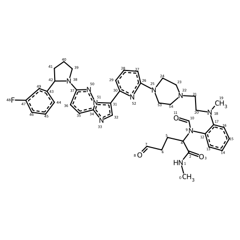 CNC(=O)C(CCC=O)N(C=O)c1ccccc1N(C)CCN1CCN(c2cccc(-c3cnc4ccc(N5CCCC5c5cccc(F)c5)nn34)n2)CC1